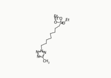 CCO[Si](CCCCCCCCn1nnc(C)n1)(OCC)OCC